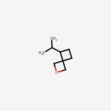 CC(C)C1CCC12COC2